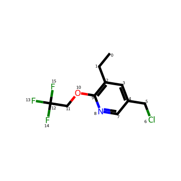 CCc1cc(CCl)cnc1OCC(F)(F)F